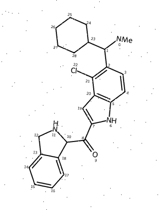 CNC(c1ccc2[nH]c(C(=O)C3NCc4ccccc43)cc2c1Cl)C1CCCCC1